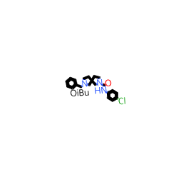 CC(C)COc1ccccc1CN1CCC2(CCN(C(=O)Nc3ccc(Cl)cc3)C2)C1